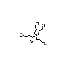 ClCCC[P+](CCCCl)(CCCCl)CCCCl.[Br-]